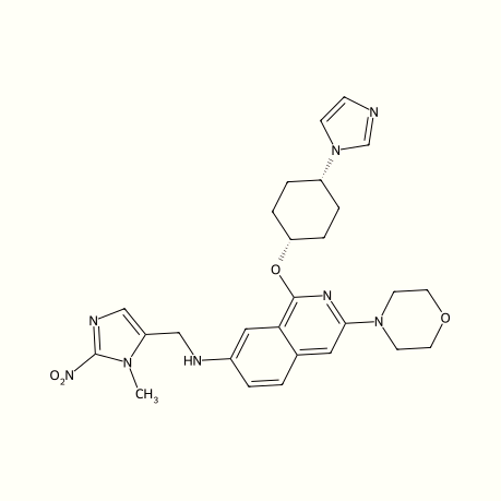 Cn1c(CNc2ccc3cc(N4CCOCC4)nc(O[C@H]4CC[C@@H](n5ccnc5)CC4)c3c2)cnc1[N+](=O)[O-]